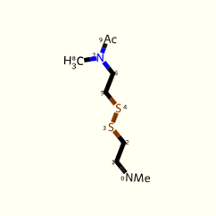 CNCCSSCCN(C)C(C)=O